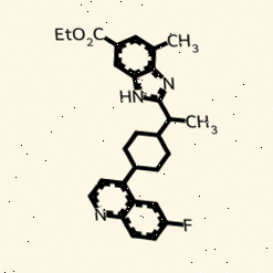 CCOC(=O)c1cc(C)c2nc(C(C)C3CCC(c4ccnc5ccc(F)cc45)CC3)[nH]c2c1